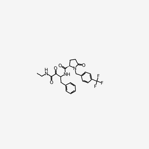 CCNC(=O)C(=O)C(Cc1ccccc1)NC(=O)[C@H]1CCC(=O)N1Cc1ccc(C(F)(F)F)cc1